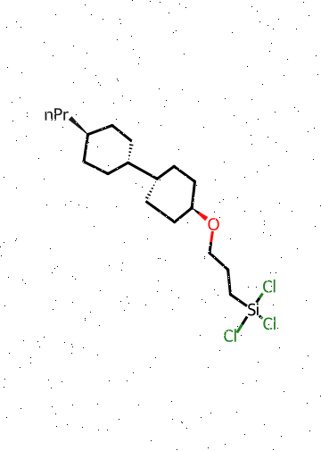 CCC[C@H]1CC[C@H]([C@H]2CC[C@H](OCCC[Si](Cl)(Cl)Cl)CC2)CC1